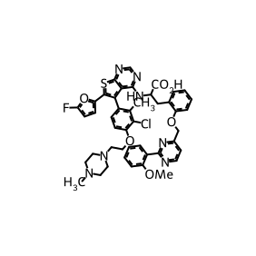 COc1ccccc1-c1nccc(COc2ccccc2CC(Nc2ncnc3sc(-c4ccc(F)o4)c(-c4ccc(OCCN5CCN(C)CC5)c(Cl)c4C)c23)C(=O)O)n1